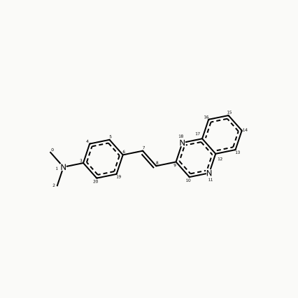 CN(C)c1ccc(C=Cc2cnc3ccccc3n2)cc1